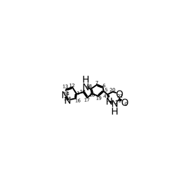 O=C1NN=C(c2ccc3[nH]c(-c4ccnnc4)cc3c2)CO1